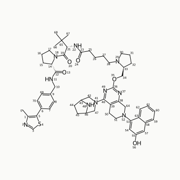 Cc1ncsc1-c1ccc(CNC(=O)[C@@H]2CCCN2C(=O)[C@@H](NC(=O)CCCCN2CCC[C@H]2COc2nc3c(c(N4CC5CCC(C4)N5)n2)CCN(c2cc(O)cc4ccccc24)C3)C(C)(C)C)cc1